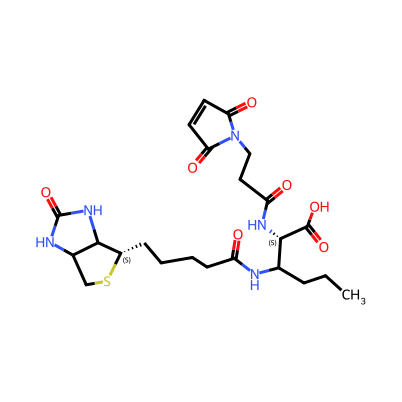 CCCC(NC(=O)CCCC[C@@H]1SCC2NC(=O)NC21)[C@H](NC(=O)CCN1C(=O)C=CC1=O)C(=O)O